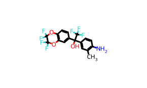 Cc1cc(C(O)(c2ccc3c(c2)OC(F)(F)C(F)(F)O3)C(F)(F)F)ccc1N